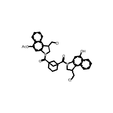 CC(=O)Oc1cc2c(c3ccccc13)C(CCl)CN2C(=O)C12CCCC(C(=O)N3CC(CCl)c4c3cc(O)c3ccccc43)(C1)C2